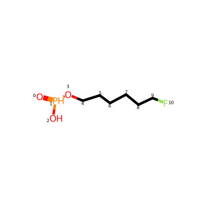 O=[PH](O)OCCCCCCF